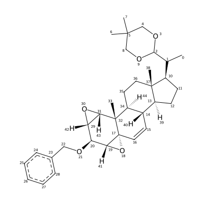 CC(C1OCC(C)(C)CO1)[C@H]1CC[C@H]2[C@@H]3C=C[C@@]45O[C@@H]4[C@@H](OCc4ccccc4)[C@@H]4O[C@@H]4[C@]5(C)[C@H]3CC[C@]12C